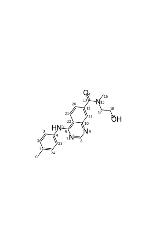 Cc1ccc(Nc2ncnc3cc(C(=O)N(C)CCO)ccc23)cc1